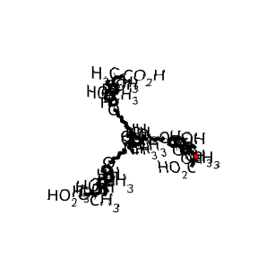 C[C@H](CCC(=O)O)[C@H]1CC[C@H]2[C@@H]3CC[C@@H]4C[C@@H](OCCCCCCNC(=O)C5(C)CC(C)(C(=O)NCCCCCCO[C@H]6CC[C@@]7(C)[C@@H](C6)C[C@@H](O)[C@@H]6[C@@H]7C[C@H](O)[C@]7(C)[C@@H]([C@H](C)CCC(=O)O)CC[C@@H]67)CC(C)(C(=O)NCCCCO[C@H]6CC[C@@]7(C)[C@@H](C6)C[C@@H](O)[C@@H]6[C@@H]7C[C@H](O)[C@]7(C)[C@@H]([C@H](C)CCC(=O)O)CC[C@@H]67)C5)CC[C@]4(C)[C@H]3C[C@H](O)[C@]12C